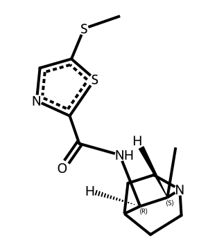 CSc1cnc(C(=O)N[C@@H]2C3CCN(CC3)[C@H]2C)s1